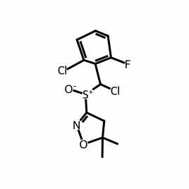 CC1(C)CC([S+]([O-])C(Cl)c2c(F)cccc2Cl)=NO1